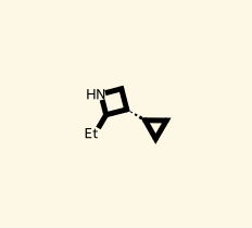 CCC1NC[C@@H]1C1CC1